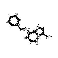 CC(C)c1cnc2c(NCc3ccccc3)ncnn12